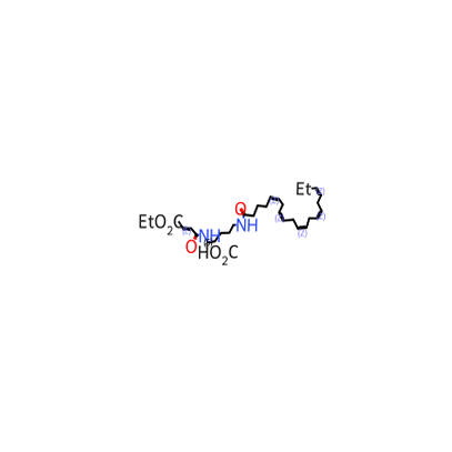 CC/C=C\C/C=C\C/C=C\C/C=C\C/C=C\CCCC(=O)NCCCC[C@H](NC(=O)/C=C/C(=O)OCC)C(=O)O